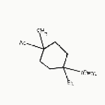 CCCCCC1(CC)CCC(C)(C(C)=O)CC1